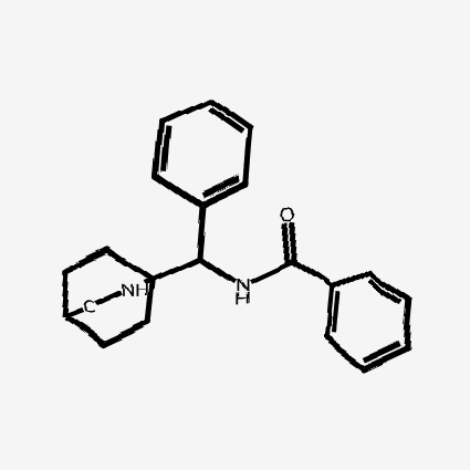 O=C(NC(c1ccccc1)C12CCC(CC1)CN2)c1ccccc1